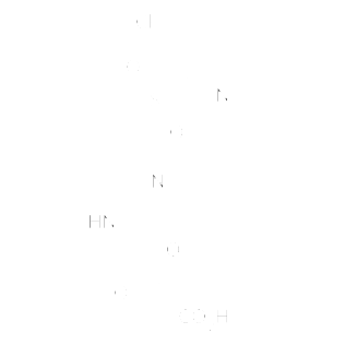 O=C(O)C(=O)Oc1nc(CS(=O)(=O)c2ncccc2Cl)c[nH]1